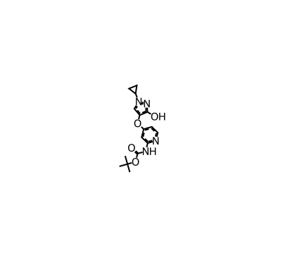 CC(C)(C)OC(=O)Nc1cc(Oc2cn(C3CC3)nc2O)ccn1